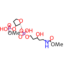 COC(=O)NCCC(O)CCOP(=O)(O)OC[C@H]1OCCC1OP(=O)(O)OC